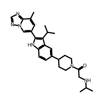 Cc1cc(-c2[nH]c3ccc(C4CCN(C(=O)CNC(C)C)CC4)cc3c2C(C)C)cn2ncnc12